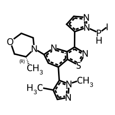 Cc1cnn(C)c1-c1cc(N2CCOC[C@H]2C)nc2c(-c3ccnn3PI)nsc12